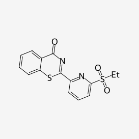 CCS(=O)(=O)c1cccc(-c2nc(=O)c3ccccc3s2)n1